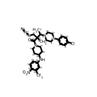 CC(N1CCN(c2ccc(Cl)cc2)CC1)C(C)(CN=[N+]=[N-])C(=O)N1CCC(Nc2ccc([N+](=O)[O-])c(C(F)(F)F)c2)CC1